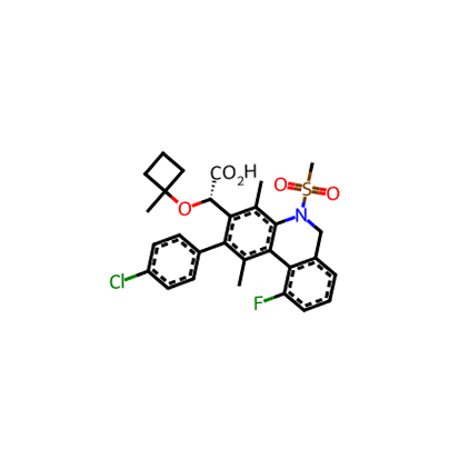 Cc1c(-c2ccc(Cl)cc2)c([C@H](OC2(C)CCC2)C(=O)O)c(C)c2c1-c1c(F)cccc1CN2S(C)(=O)=O